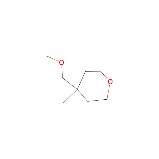 COCC1(C)CCOCC1